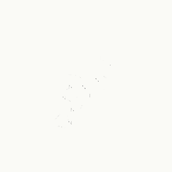 C[C@@H]1CN(c2ncnc3c2c(C(F)(F)F)cn3-c2cc(Cl)ccn2)[C@@H](C)CN1C(=O)OC(C)(C)C